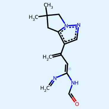 C=N/C(=C\C(=C)c1cnn2c1CC(C)(C)C2)NC=O